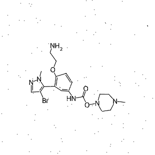 CN1CCN(OC(=O)Nc2ccc(OCCN)c(-c3c(Br)cnn3C)c2)CC1